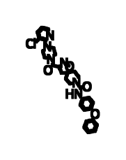 O=C(Nc1ccc(Oc2ccccc2)cc1)N1CCC2(CC1)CC(C(=O)N1CCN(c3ncccc3Cl)CC1)=NO2